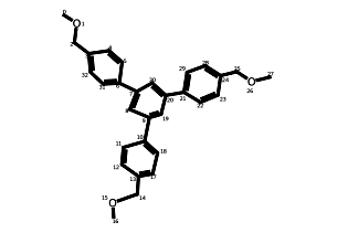 COCc1ccc(-c2cc(-c3ccc(COC)cc3)cc(-c3ccc(COC)cc3)c2)cc1